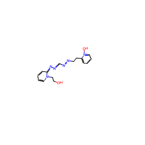 OCCn1ccccc1=NN=CN=NCCc1cccc[n+]1O